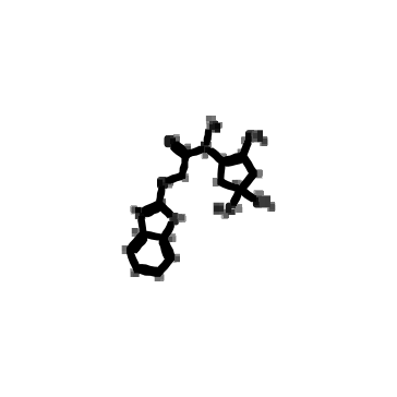 CC1=C(N(C(=O)COc2nc3ccccc3s2)C(C)C)CC(C)(C)C1